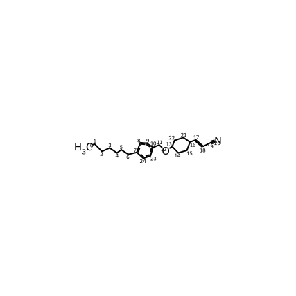 CCCCCCCc1ccc(COC2CCC(C=CC#N)CC2)cc1